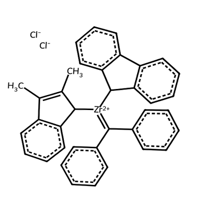 CC1=C(C)[CH]([Zr+2](=[C](c2ccccc2)c2ccccc2)[CH]2c3ccccc3-c3ccccc32)c2ccccc21.[Cl-].[Cl-]